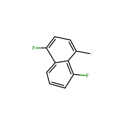 [CH]c1ccc(F)c2cccc(F)c12